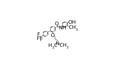 Cc1cc(NC(=O)c2ccc(-c3ccc(C(F)(F)F)cc3)c(OCCCN(C)C)c2)ccc1O